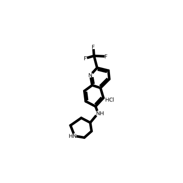 Cl.FC(F)(F)c1ccc2cc(NC3CCNCC3)ccc2n1